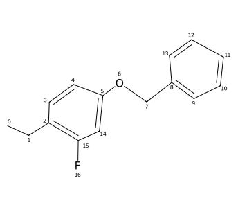 CCc1ccc(OCc2ccccc2)cc1F